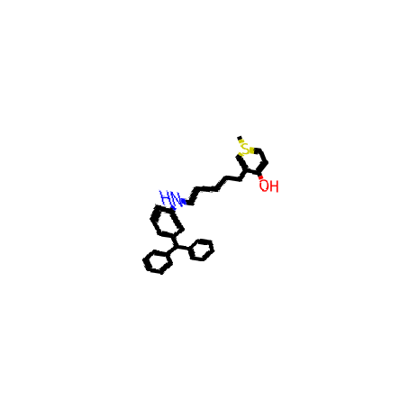 CS1=CC=C(O)C(CCCCCNc2cccc(C(c3ccccc3)c3ccccc3)c2)=C1